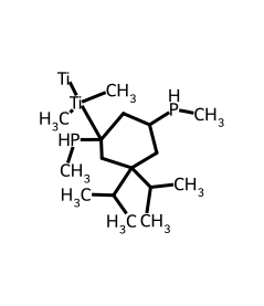 CPC1CC(C(C)C)(C(C)C)C[C](PC)([Ti]([CH3])([CH3])[Ti])C1